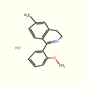 COc1ccccc1C1=NCCc2cc(C)ccc21.Cl